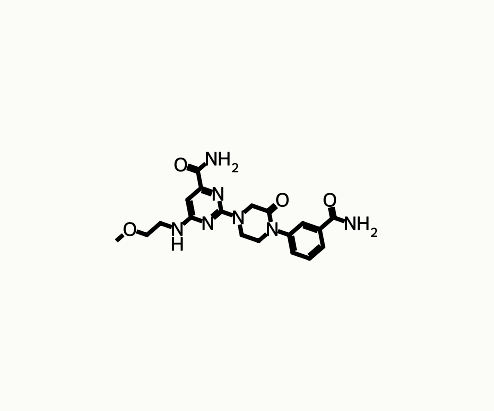 COCCNc1cc(C(N)=O)nc(N2CCN(c3cccc(C(N)=O)c3)C(=O)C2)n1